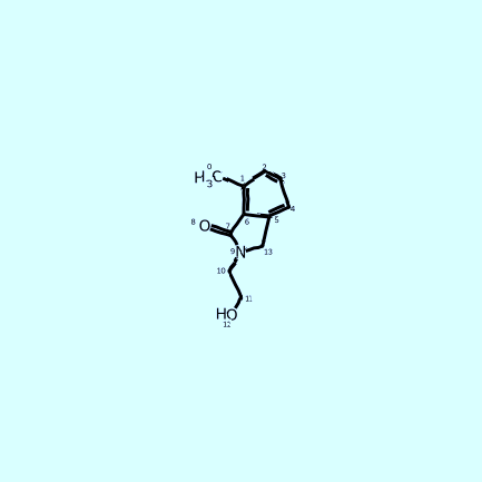 Cc1cccc2c1C(=O)N(CCO)C2